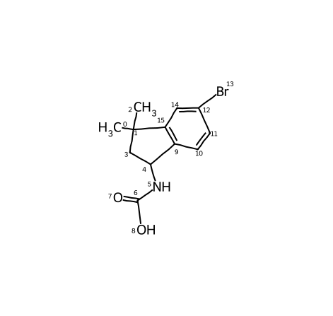 CC1(C)CC(NC(=O)O)c2ccc(Br)cc21